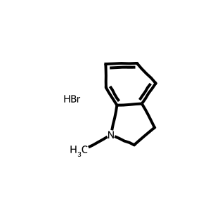 Br.CN1CCc2ccccc21